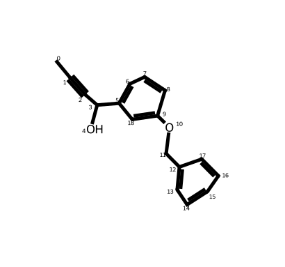 CC#CC(O)c1cccc(OCc2ccccc2)c1